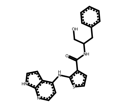 O=C(NC(CO)Cc1ccccc1)c1ccsc1Nc1ccnc2[nH]ccc12